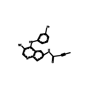 CC#CC(=O)Nc1ccc2ncc(C#N)c(Nc3cccc(C(C)C)c3)c2c1